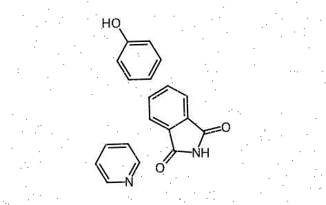 O=C1NC(=O)c2ccccc21.Oc1ccccc1.c1ccncc1